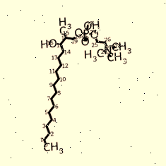 CCCCCCCCCCCCCCC[C@@H](O)[C@@H](C)COP(=O)(O)OCC[N+](C)(C)C